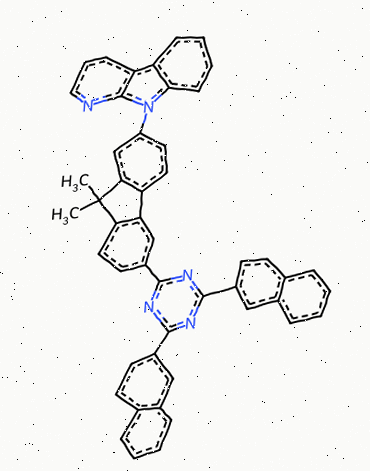 CC1(C)c2ccc(-c3nc(-c4ccc5ccccc5c4)nc(-c4ccc5ccccc5c4)n3)cc2-c2ccc(-n3c4ccccc4c4cccnc43)cc21